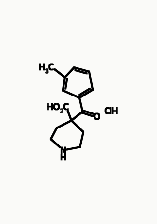 Cc1cccc(C(=O)C2(C(=O)O)CCNCC2)c1.Cl